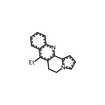 CCc1c2c(nc3ccccc13)-c1cccn1CC2